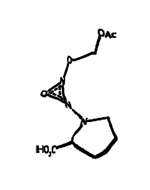 CC(=O)OCOn1on1N1CCCC1C(=O)O